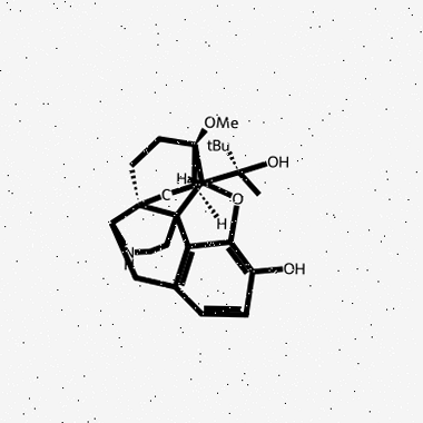 CO[C@]12CC[C@@]3(C[C@@H]1[C@](C)(O)C(C)(C)C)C1Cc4ccc(O)c5c4C3(CCN1)[C@H]2O5